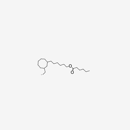 [CH2]CC1CCCCCC(CCCCCCOC(=O)CCCCC)C1